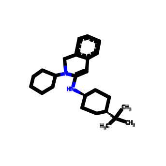 CC(C)(C)[C@H]1CC[C@H](NC2=Cc3ccccc3CN2C2CCCCC2)CC1